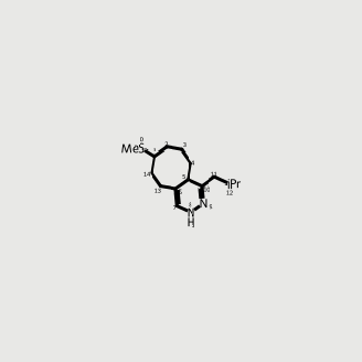 CSC1CCCC2C(=CNN=C2CC(C)C)CC1